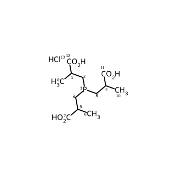 CC(CP(CC(C)C(=O)O)CC(C)C(=O)O)C(=O)O.Cl